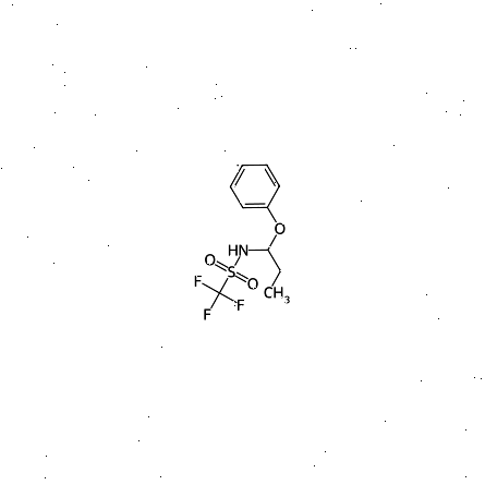 CCC(NS(=O)(=O)C(F)(F)F)Oc1cc[c]cc1